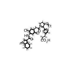 CCO[C@H]1CCN(C(=O)Cc2cc(Cl)c(NC(=O)c3cn(C)c4ccccc34)cc2Cl)[C@@H]1c1ncc(CCC(=O)O)s1